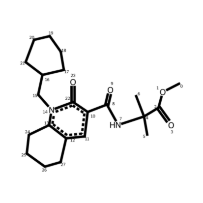 COC(=O)C(C)(C)NC(=O)c1cc2c(n(CC3CCCCC3)c1=O)CCCC2